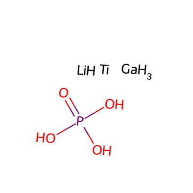 O=P(O)(O)O.[GaH3].[LiH].[Ti]